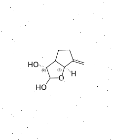 C=C1CCC2[C@@H](O)C(O)O[C@H]12